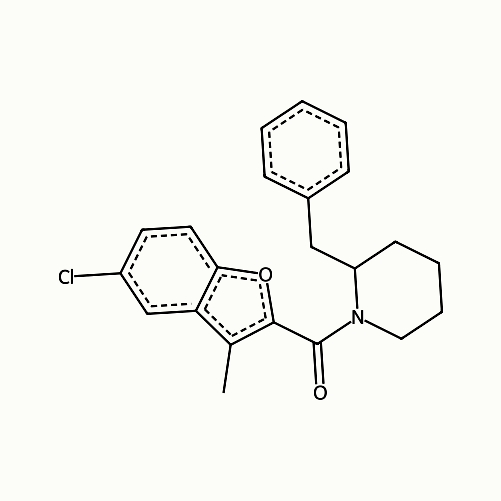 Cc1c(C(=O)N2CCCCC2Cc2ccccc2)oc2ccc(Cl)cc12